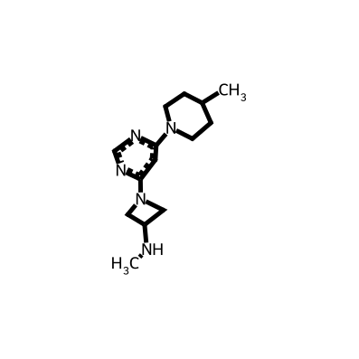 CNC1CN(c2cc(N3CCC(C)CC3)ncn2)C1